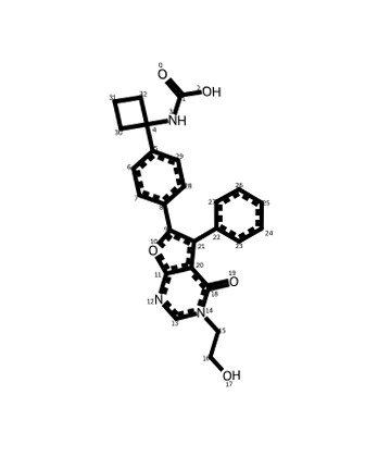 O=C(O)NC1(c2ccc(-c3oc4ncn(CCO)c(=O)c4c3-c3ccccc3)cc2)CCC1